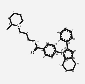 CC1CCCCN1CCCNC(=O)c1ccc(-n2c(-c3ccccc3)cc3c2CCCC3)cc1